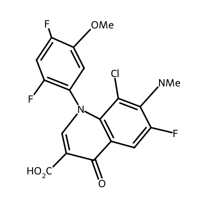 CNc1c(F)cc2c(=O)c(C(=O)O)cn(-c3cc(OC)c(F)cc3F)c2c1Cl